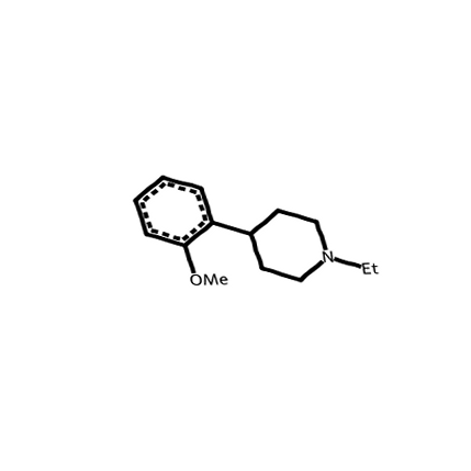 [CH2]CN1CCC(c2ccccc2OC)CC1